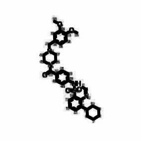 C/C=N\c1c(C2CCCCC2)cccc1S(=O)(=O)Nc1ccc(C(=O)N2CCN(Cc3ccc(OC)c(OC)c3)CC2)cc1